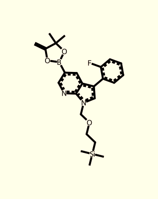 C=C1OB(c2cnc3c(c2)c(-c2ccccc2F)cn3COCC[Si](C)(C)C)OC1(C)C